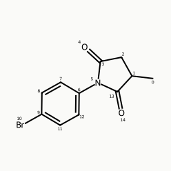 CC1CC(=O)N(c2ccc(Br)cc2)C1=O